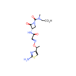 CC(ON=CC(=O)N[C@H]1CN(C(=O)N(C)CC(=O)O)C1=O)c1csc(N)n1